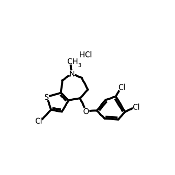 CN1CCC(Oc2ccc(Cl)c(Cl)c2)c2cc(Cl)sc2C1.Cl